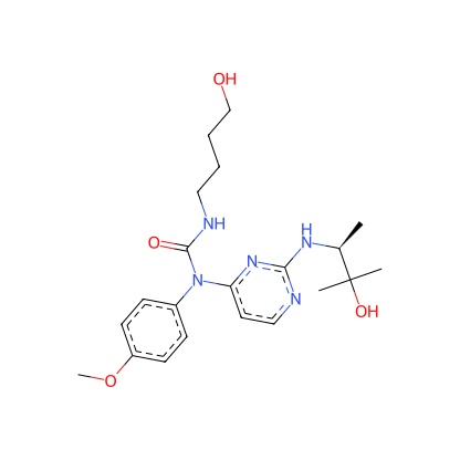 COc1ccc(N(C(=O)NCCCCO)c2ccnc(N[C@@H](C)C(C)(C)O)n2)cc1